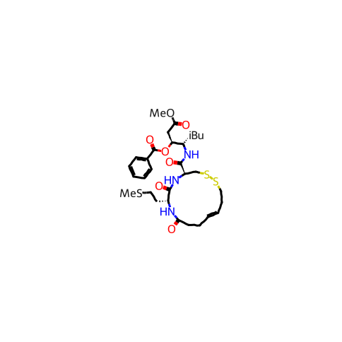 CC[C@@H](C)C(NC(=O)[C@H]1CSSCC/C=C/CCC(=O)N[C@H](CCSC)C(=O)N1)[C@H](CC(=O)OC)OC(=O)c1ccccc1